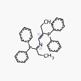 CC/C(=C/N=C(/CC)P(c1ccccc1)c1ccccc1)P(c1ccccc1)c1ccccc1